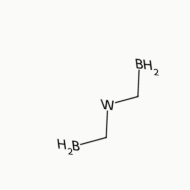 B[CH2][W][CH2]B